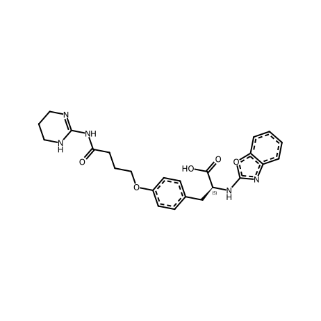 O=C(CCCOc1ccc(C[C@H](Nc2nc3ccccc3o2)C(=O)O)cc1)NC1=NCCCN1